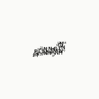 C[C@H](NC(=O)c1ncnc2c1ccn2C)c1cc(-c2nc3ccc(C(F)(F)F)cc3[nH]2)no1